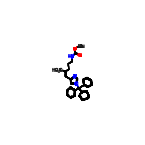 CC(C)(C)OC(=O)NCCC/C(=C\c1cn(C(c2ccccc2)(c2ccccc2)c2ccccc2)cn1)C(=O)O